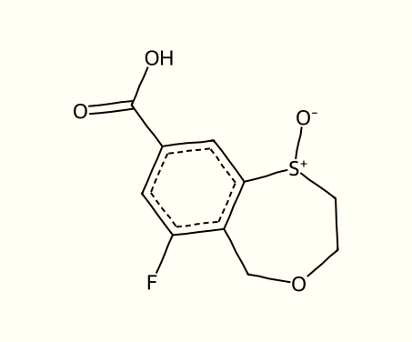 O=C(O)c1cc(F)c2c(c1)[S+]([O-])CCOC2